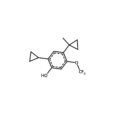 CC1(c2cc(C3CC3)c(O)cc2OC(F)(F)F)CC1